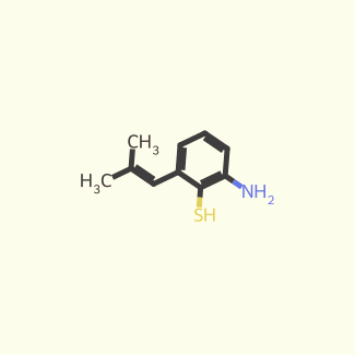 CC(C)=Cc1cccc(N)c1S